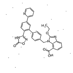 CCOc1nc2cccc(C(=O)O)c2n1Cc1ccc(-c2cc(-c3ccccn3)ccc2-c2noc(=O)[nH]2)cc1